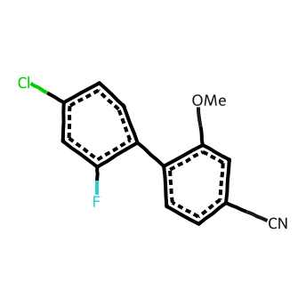 COc1cc(C#N)ccc1-c1ccc(Cl)cc1F